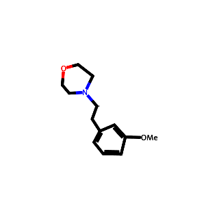 COc1cccc(C[CH]N2CCOCC2)c1